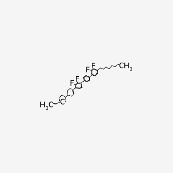 C/C=C/C1CCC(C2CC=C(c3ccc(-c4ccc(-c5ccc(CCCCCCCC)c(F)c5F)cc4)c(F)c3F)CC2)CC1